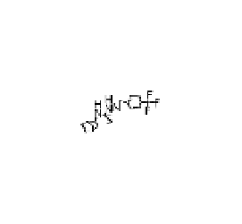 FC(F)(F)c1ccc(C=NNC(=S)NC2CC3C=CC2C3)cc1